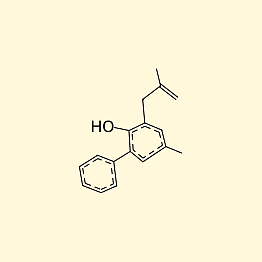 C=C(C)Cc1cc(C)cc(-c2ccccc2)c1O